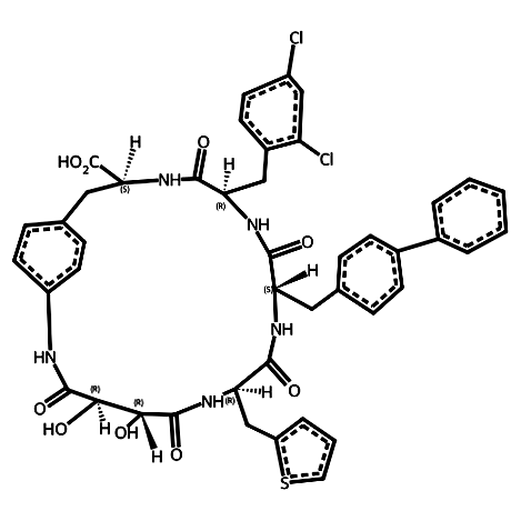 O=C(O)[C@@H]1Cc2ccc(cc2)NC(=O)[C@H](O)[C@@H](O)C(=O)N[C@H](Cc2cccs2)C(=O)N[C@@H](Cc2ccc(-c3ccccc3)cc2)C(=O)N[C@H](Cc2ccc(Cl)cc2Cl)C(=O)N1